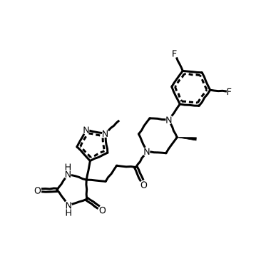 C[C@H]1CN(C(=O)CCC2(c3cnn(C)c3)NC(=O)NC2=O)CCN1c1cc(F)cc(F)c1